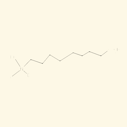 CC[N+](CC)(CC)CCCCCCCCC(=O)O